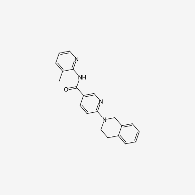 Cc1cccnc1NC(=O)c1ccc(N2CCc3ccccc3C2)nc1